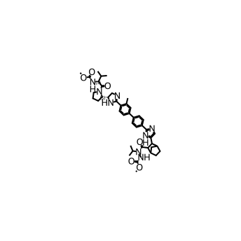 COC(=O)N[C@H](C(=O)N1CCC[C@H]1C1CN=C(c2ccc(-c3ccc(-c4ncc(C5C6CCC(C6)C5C(=O)N(NC(=O)OC)C(C)C)[nH]4)cc3)cc2C)N1)C(C)C